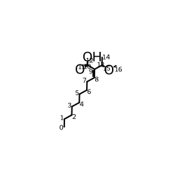 CCCCCCCCC=C(C(=O)O)C(C)OC